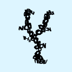 CCCCC1Oc2ccc(Oc3cccc(Oc4ccc(CCC(C)(c5ccc(Oc6cccc(Oc7ccc8c(c7)OC(CCCC)O8)c6C#N)cc5)c5ccc(Oc6cccc(Oc7ccc8c(c7)OC(CCCC)O8)c6C#N)cc5)cc4)c3C#N)cc2O1